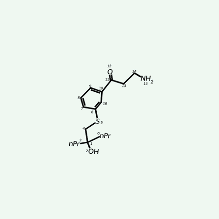 CCCC(O)(CCC)CSc1cccc(C(=O)CCN)c1